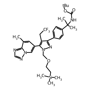 Cc1cc(-c2c(CC(F)(F)F)c(-c3ccc(C(C)(C)NC(=O)OC(C)(C)C)cc3)nn2COCC[Si](C)(C)C)cn2ncnc12